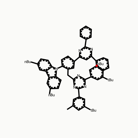 CCCCc1cc(-c2nc(Cc3cc(-c4cc(-c5ccccc5)nc(-c5ccccc5)n4)ccc3-n3c4ccc(CCCC)cc4c4cc(CCCC)ccc43)nc(-c3cc(C)cc(C(C)(C)C)c3)n2)cc(C(C)(C)C)c1